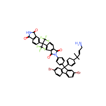 CC(C)(C=CCN)C1C=CC(C2(c3ccc(N4C(=O)c5ccc(C(c6ccc7c(c6)C(=O)NC7=O)(C(F)(F)F)C(F)(F)F)cc5C4=O)cc3)c3cc(Br)ccc3-c3ccc(Br)cc32)=CC1